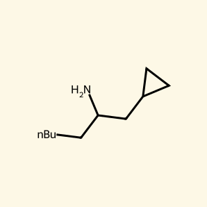 CCCCCC(N)CC1CC1